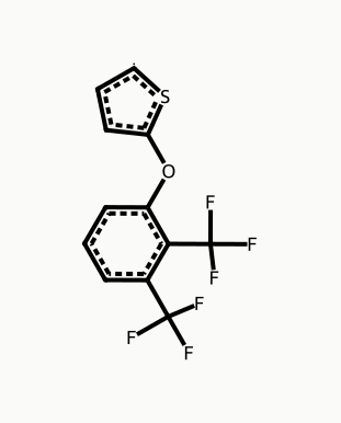 FC(F)(F)c1cccc(Oc2cc[c]s2)c1C(F)(F)F